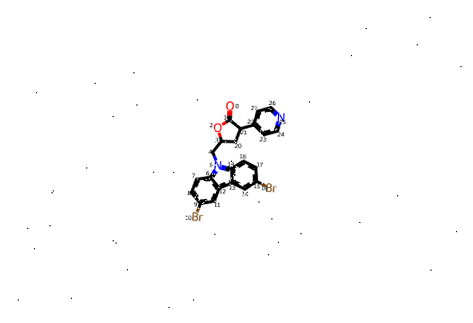 O=C1OC(Cn2c3ccc(Br)cc3c3cc(Br)ccc32)CC1c1ccncc1